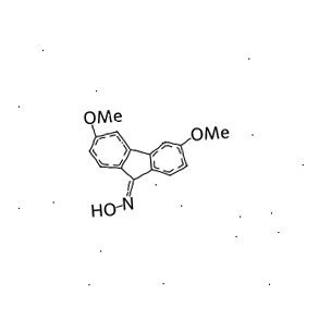 COc1ccc2c(c1)-c1cc(OC)ccc1C2=NO